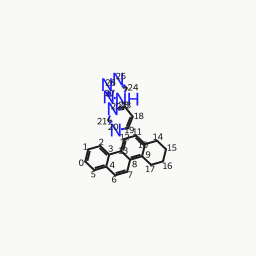 c1ccc2c(c1)ccc1c3c(ccc12)CCCC3.c1cncnc1.c1nnn[nH]1